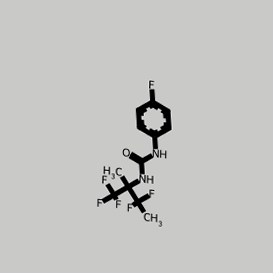 CC(F)(F)C(C)(NC(=O)Nc1ccc(F)cc1)C(F)(F)F